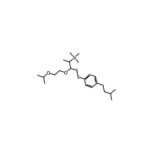 CC(C)CCc1ccc(SSC(OCCOC(C)C)C(C)[Si](C)(C)C)cc1